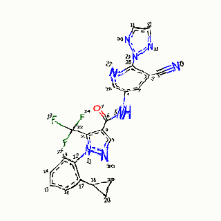 N#Cc1cc(NC(=O)c2cnn(-c3ccccc3C3CC3)c2C(F)(F)F)cnc1-n1nccn1